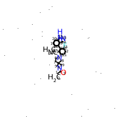 C=CC(=O)N1CC2(CCN(c3ccc(F)c(-c4c(C)ccc5[nH]ncc45)c3C#N)C2)C1